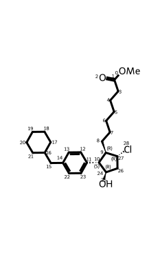 COC(=O)CCCCCC[C@@H]1[C@@H](c2ccc(CC3CCCCC3)cc2)[C@H](O)C[C@H]1Cl